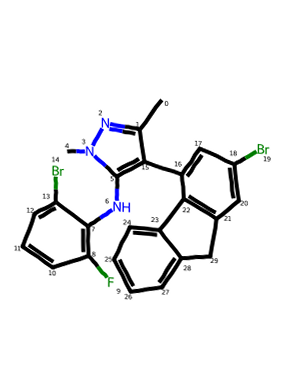 Cc1nn(C)c(Nc2c(F)cccc2Br)c1-c1cc(Br)cc2c1-c1ccccc1C2